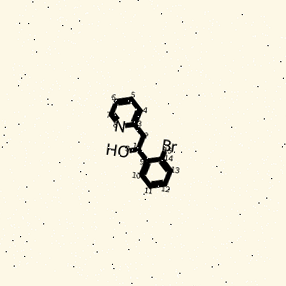 OC(Cc1ccccn1)c1ccccc1Br